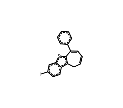 Ic1ccc2c3c(sc2c1)C(c1ccccc1)=CC=CC3